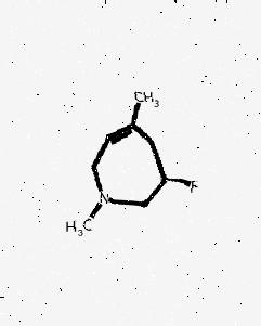 CC1=CCN(C)C[C@H](F)C1